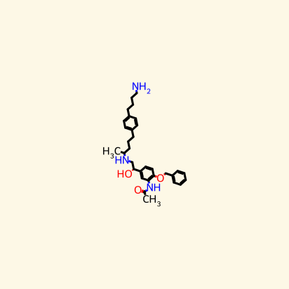 CC(=O)Nc1cc([C@@H](O)CNC(C)CCCc2ccc(CCCCN)cc2)ccc1OCc1ccccc1